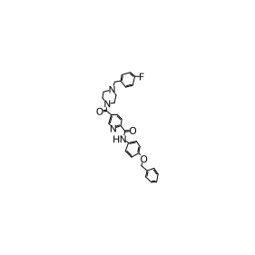 O=C(Nc1ccc(OCc2ccccc2)cc1)c1ccc(C(=O)N2CCN(Cc3ccc(F)cc3)CC2)cn1